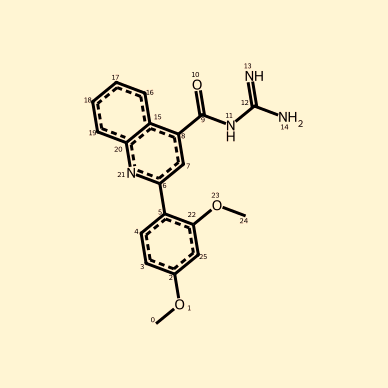 COc1ccc(-c2cc(C(=O)NC(=N)N)c3ccccc3n2)c(OC)c1